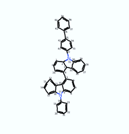 C1=CC2C(C(c3cccc4c3c3ccccc3n4-c3ccccc3)=C1)c1ccccc1N2c1ccc(-c2ccccc2)cc1